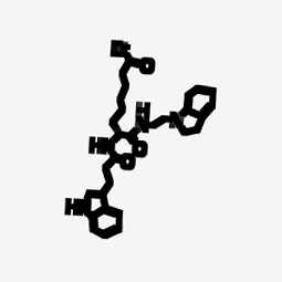 CCC(=O)CCCCC[C@H](NC(=O)CCc1c[nH]c2ccccc12)C(=O)NCCN1CCc2ccccc21